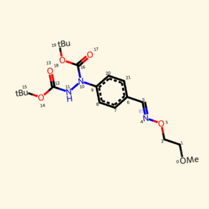 COCCO/N=C/c1ccc(N(NC(=O)OC(C)(C)C)C(=O)OC(C)(C)C)cc1